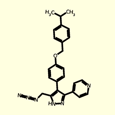 CC(C)c1ccc(COc2ccc(-c3c(-c4ccncc4)n[nH]c3CN=[N+]=[N-])cc2)cc1